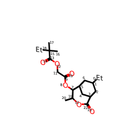 CCC1CC2CC(C1)C(OC(=O)COC(=O)C(C)(C)CC)C(C)OC2=O